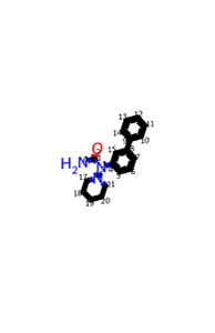 NC(=O)N(c1cccc(-c2ccccc2)c1)N1CCCCC1